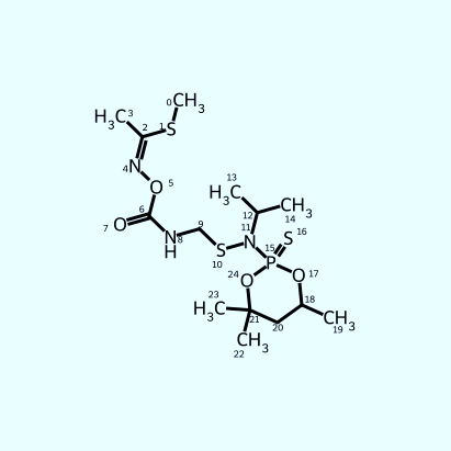 CSC(C)=NOC(=O)NCSN(C(C)C)P1(=S)OC(C)CC(C)(C)O1